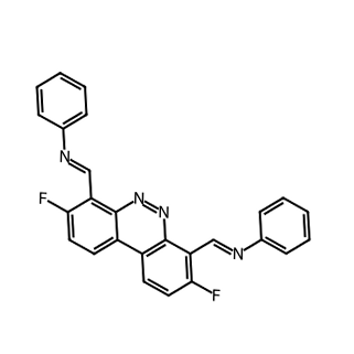 Fc1ccc2c(nnc3c(/C=N/c4ccccc4)c(F)ccc32)c1/C=N/c1ccccc1